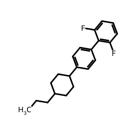 CCCC1CCC(c2ccc(-c3c(F)cccc3F)cc2)CC1